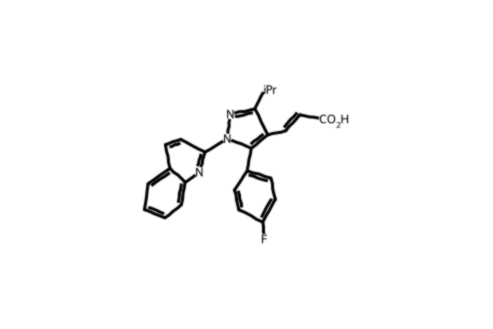 CC(C)c1nn(-c2ccc3ccccc3n2)c(-c2ccc(F)cc2)c1/C=C/C(=O)O